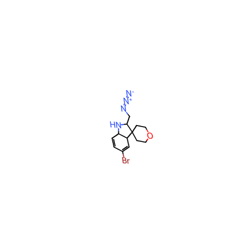 [N-]=[N+]=NCC1NC2C=CC(Br)=CC2C12CCOCC2